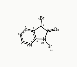 O=C1C(Br)c2cccnc2N1Br